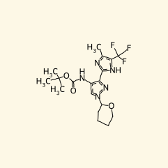 Cc1nc(-c2nn(C3CCCCO3)cc2NC(=O)OC(C)(C)C)[nH]c1C(F)(F)F